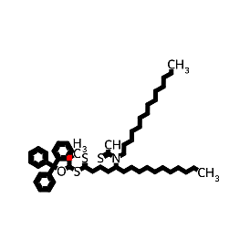 CCCCCCCCCCCCCCN(C(C)=S)C(CCCCCCCCCCC)CCCC(=S)SC(CC)OC(c1ccccc1)(c1ccccc1)c1ccccc1